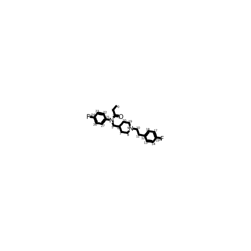 CCC(=O)N(CC1CCN(CCc2ccc(F)cc2)CC1)c1ccc(F)cc1